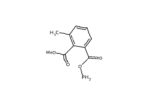 COC(=O)c1c(C)cccc1C(=O)OP